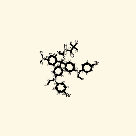 CCN(c1ccc(Br)cc1)c1ccc(C2(c3ccc(N(CC)c4ccc(Br)cc4)cc3)SC(NC(=O)C(C)(C)C)=Nc3cc(N(C)C)ccc32)cc1